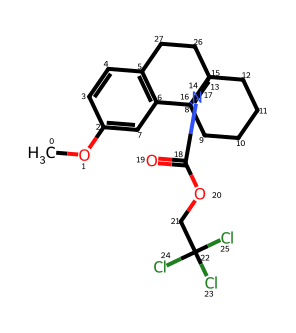 COc1ccc2c(c1)C13CCCCC1(CCCN3C(=O)OCC(Cl)(Cl)Cl)CC2